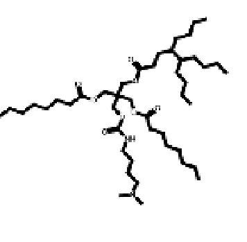 CCCCCCCC(=O)OCC(COC(=O)CCCCCCC)(COC(=O)CCC(CCCC)C(CCCC)CCCC)COC(=O)NCCCCN(C)C